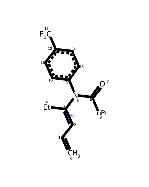 C=C/C=C(\CC)N(C(=O)CCC)c1ccc(C(F)(F)F)cc1